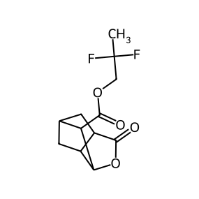 CC(F)(F)COC(=O)C1C2CC3C(=O)OC1C3C2